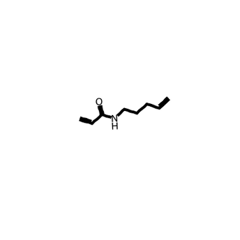 C=CCCCNC(=O)C=C